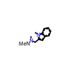 CNN(C)Cc1cc2ccccc2n1C